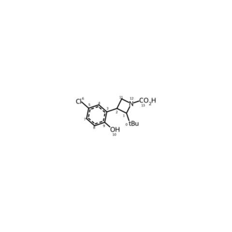 CC(C)(C)C1C(c2cc(Cl)ccc2O)CN1C(=O)O